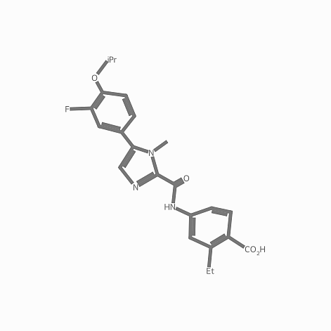 CCc1cc(NC(=O)c2ncc(-c3ccc(OC(C)C)c(F)c3)n2C)ccc1C(=O)O